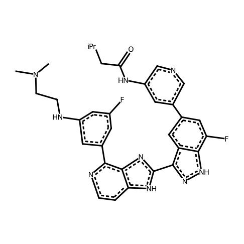 CC(C)CC(=O)Nc1cncc(-c2cc(F)c3[nH]nc(-c4nc5c(-c6cc(F)cc(NCCN(C)C)c6)nccc5[nH]4)c3c2)c1